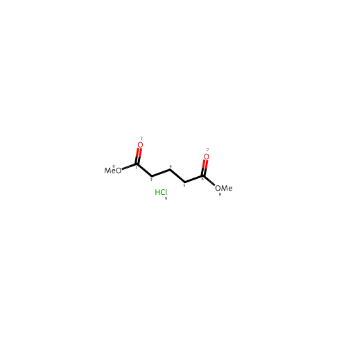 COC(=O)CCCC(=O)OC.Cl